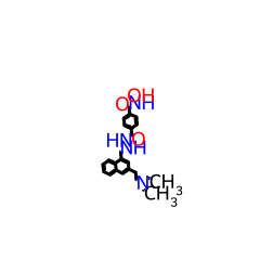 CCN(CC)CCc1cc(CNNC(=O)c2ccc(C(=O)NO)cc2)c2ccccc2c1